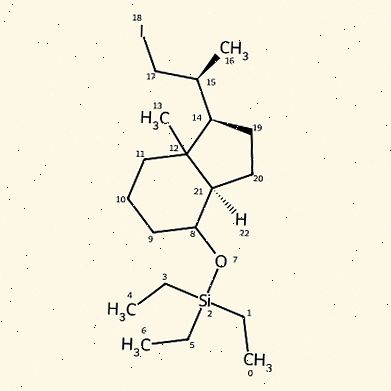 CC[Si](CC)(CC)OC1CCCC2(C)[C@@H]([C@H](C)CI)CC[C@@H]12